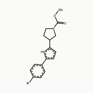 CC(C)(C)OC(=O)N1CCC(c2ccc(-c3ccc(Br)cc3)[nH]2)C1